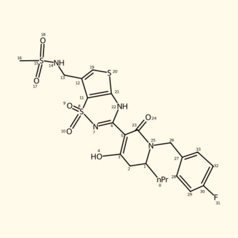 CCCC1CC(O)=C(C2=NS(=O)(=O)c3c(CNS(C)(=O)=O)csc3N2)C(=O)N1Cc1ccc(F)cc1